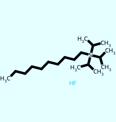 CCCCCCCCCC[Si](C(C)C)(C(C)C)C(C)C.F